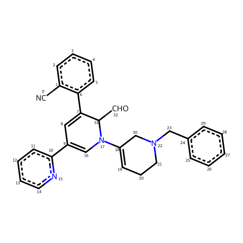 N#Cc1ccccc1C1=CC(c2ccccn2)=CN(C2=CCCN(Cc3ccccc3)C2)C1C=O